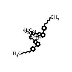 CCCCCCc1ccc(-c2cccc3c2C=C(c2ccc(C)o2)[CH]3[Zr+2][CH]2C(c3ccc(C)o3)=Cc3c(-c4ccc(CCCCCC)cc4)cccc32)cc1.[Cl-].[Cl-]